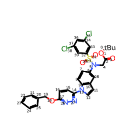 CC(C)(C)OC(=O)CN(c1ccc2c(ccn2-c2ccc(OCc3ccccc3)nn2)c1)S(=O)(=O)c1cc(Cl)cc(Cl)c1